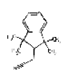 CC1(C)c2ccccc2C(C)(C)C1CC#N